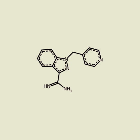 N=C(N)c1nn(Cc2ccncc2)c2ccccc12